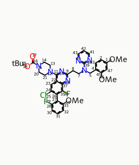 COc1ccc(CN(CCc2nc(N3CCN(C(=O)OC(C)(C)C)CC3)c3cc(Cl)c(-c4c(F)cccc4OC)c(F)c3n2)c2ncccn2)c(OC)c1